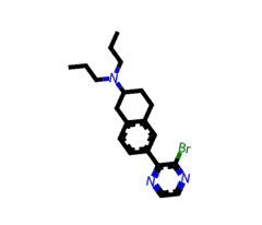 CCCN(CCC)C1CCc2cc(-c3nccnc3Br)ccc2C1